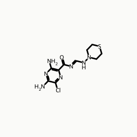 Nc1nc(N)c(C(=O)N=CNN2CCSCC2)nc1Cl